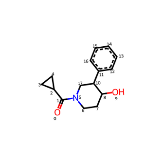 O=C(C1CC1)N1CCC(O)C(c2ccccc2)C1